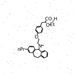 CCCc1ccc2c(c1)CCc1ccccc1C2N(C)CCOc1ccc(CC(OCC)C(=O)O)cc1